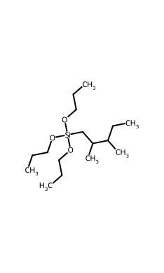 CCCO[Si](CC(C)C(C)CC)(OCCC)OCCC